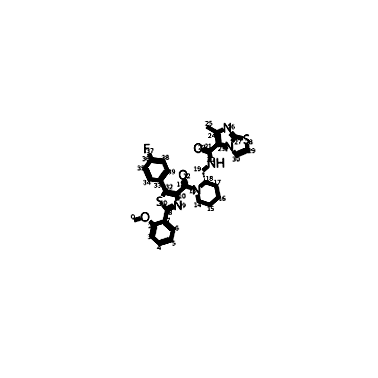 COc1ccccc1-c1nc(C(=O)N2CCCC[C@H]2CNC(=O)c2c(C)nc3sccn23)c(-c2ccc(F)cc2)s1